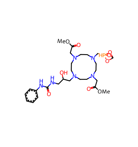 COC(=O)CN1CCN(CC(O)CNC(=O)Nc2ccccc2)CCN(CC(=O)OC)CCN(C[PH]23OC(O2)O3)CC1